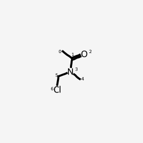 CC(=O)N(C)CCl